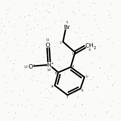 C=C(CBr)c1ccccc1[N+](=O)[O-]